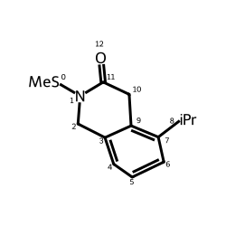 CSN1Cc2cccc(C(C)C)c2CC1=O